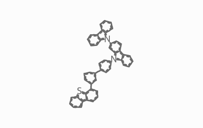 c1cc(-c2ccc(-n3c4ccccc4c4ccc(-n5c6ccccc6c6ccccc65)cc43)cc2)cc(-c2cccc3c2sc2ccccc23)c1